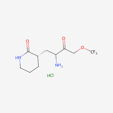 Cl.NC(C[C@@H]1CCCNC1=O)C(=O)COC(F)(F)F